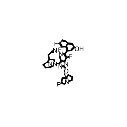 N#CCC1CN(c2nc(OC[C@@]34CCCN3C[C@H](F)C4)nc3c(F)c(-c4cc(O)cc5ccc(F)c(F)c45)ncc23)CC2CCC1N2